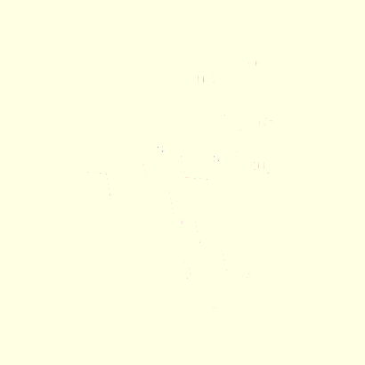 C=CC(C)C1=C(CCC)C(=C)N2Cc3c(nc4cc5c(cc4c3/C=C/c3ccc(F)c(F)c3)OCC5)C2=C1